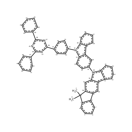 CC1(C)c2ccccc2-c2cc3c4ccccc4n(-c4ccc5c(c4)c4ccccc4n5-c4ccc(-c5nc(-c6ccccc6)nc(-c6ccccc6)n5)cc4)c3cc21